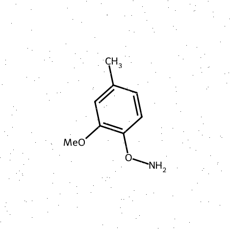 COc1cc(C)ccc1ON